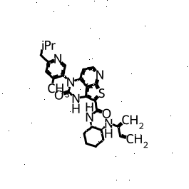 C=CC(=C)N[C@H]1CCCC[C@H]1NC(=O)c1sc2nccc3c2c1NC(=O)N3c1cnc(CC(C)C)cc1C